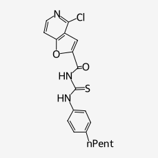 CCCCCc1ccc(NC(=S)NC(=O)c2cc3c(Cl)nccc3o2)cc1